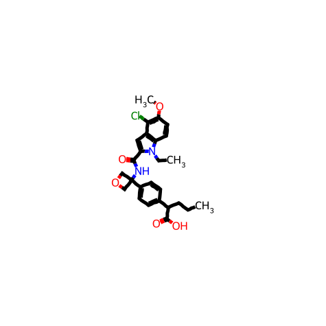 CCCC(C(=O)O)c1ccc(C2(NC(=O)c3cc4c(Cl)c(OC)ccc4n3CC)COC2)cc1